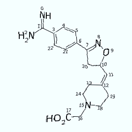 N=C(N)c1ccc(C2=NOC(C=C3CCN(CC(=O)O)CC3)C2)cc1